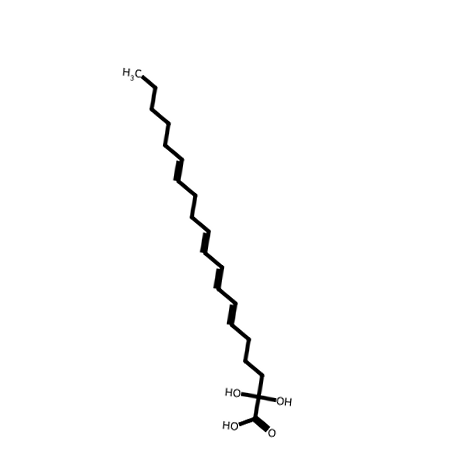 CCCCCC=CCCC=CC=CC=CCCCC(O)(O)C(=O)O